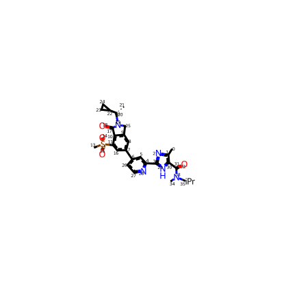 Cc1nc(-c2cc(-c3cc4c(c(S(C)(=O)=O)c3)C(=O)N([C@@H](C)C3CC3)C4)ccn2)[nH]c1C(=O)N(C)C(C)C